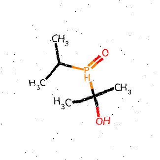 CC(C)[PH](=O)C(C)(C)O